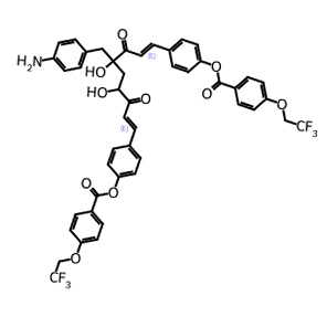 Nc1ccc(CC(O)(CC(O)C(=O)/C=C/c2ccc(OC(=O)c3ccc(OCC(F)(F)F)cc3)cc2)C(=O)/C=C/c2ccc(OC(=O)c3ccc(OCC(F)(F)F)cc3)cc2)cc1